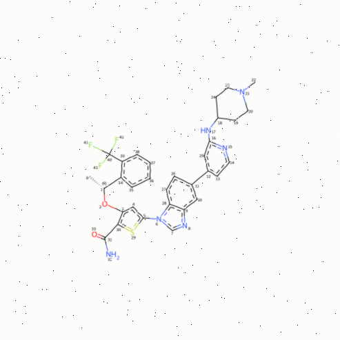 C[C@@H](Oc1cc(-n2cnc3cc(-c4ccnc(NC5CCN(C)CC5)c4)ccc32)sc1C(N)=O)c1ccccc1C(F)(F)F